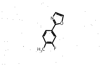 Cc1ccc(-c2ncco2)cc1F